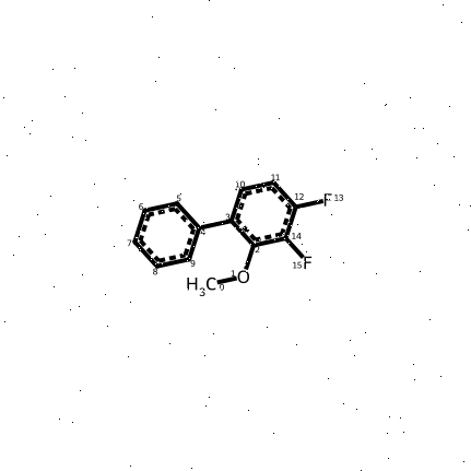 COc1c(-c2ccccc2)[c]cc(F)c1F